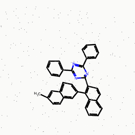 Cc1ccc2cc(-c3c(-c4nc(-c5ccccc5)nc(-c5ccccc5)n4)ccc4ccccc34)ccc2c1